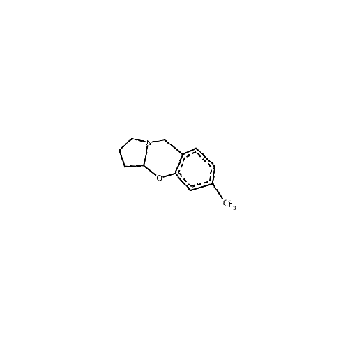 FC(F)(F)c1ccc2c(c1)OC1CCCN1C2